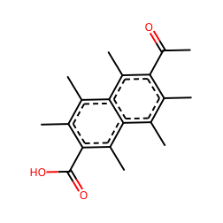 CC(=O)c1c(C)c(C)c2c(C)c(C(=O)O)c(C)c(C)c2c1C